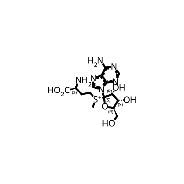 C[S+](CC[C@H](N)C(=O)O)[C@@]1(n2cnc3c(N)ncnc32)O[C@H](CO)[C@@H](O)[C@H]1O